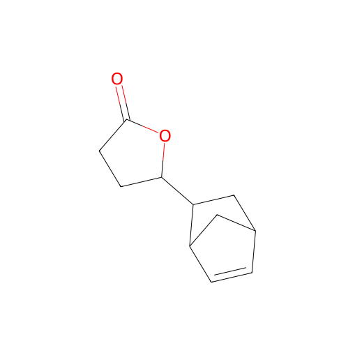 O=C1CCC(C2CC3C=CC2C3)O1